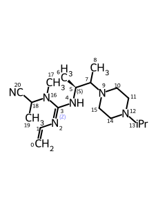 C=C/N=C(/N[C@@H](C)C(C)N1CCN(C(C)C)CC1)N(C)C(C)C#N